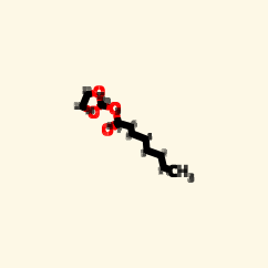 CCCCCCCC(=O)OC1OCCO1